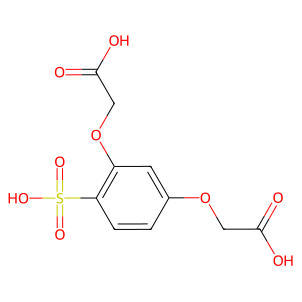 O=C(O)COc1ccc(S(=O)(=O)O)c(OCC(=O)O)c1